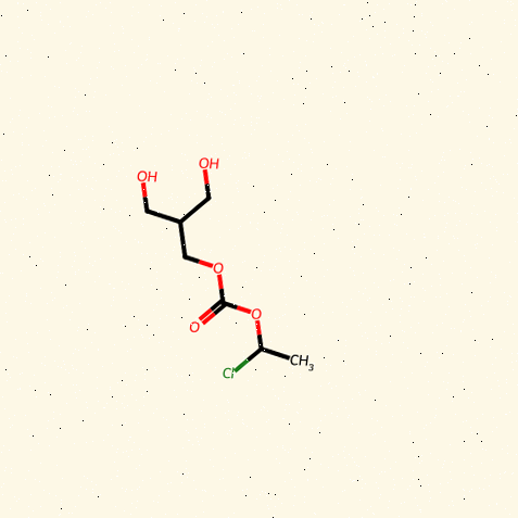 CC(Cl)OC(=O)OCC(CO)CO